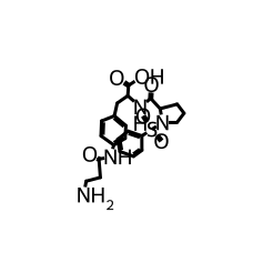 NCCC(=O)Nc1ccc(CC(NC(=O)C2CCCN2S(=O)(=O)c2ccccc2)C(=O)O)cc1